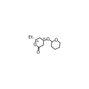 CC[C@@H]1C[C@@H](OC2CCCCO2)CC(=O)O1